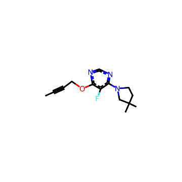 CC#CCOc1ncnc(N2CCC(C)(C)C2)c1F